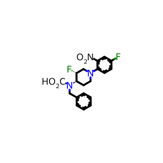 O=C(O)N(Cc1ccccc1)[C@H]1CCN(c2ccc(F)cc2[N+](=O)[O-])C[C@H]1F